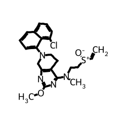 C=C[S+]([O-])CCN(C)c1nc(OC)nc2c1CCN(c1cccc3cccc(Cl)c13)C2